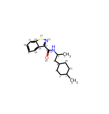 CC1CCC(CC(C)NC(=O)c2nsc3ccccc23)CC1